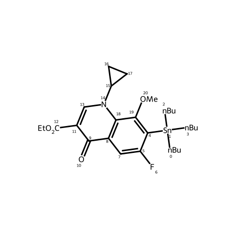 CCC[CH2][Sn]([CH2]CCC)([CH2]CCC)[c]1c(F)cc2c(=O)c(C(=O)OCC)cn(C3CC3)c2c1OC